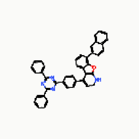 C1=C(c2ccc(-c3nc(-c4ccccc4)nc(-c4ccccc4)n3)cc2)c2c(oc3c(-c4ccc5ccccc5c4)cccc23)NC1